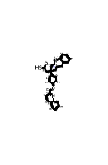 C/C=C/C(CCCc1ccccc1Cl)(CC(=O)S)c1ccc(OCc2ccc3ccccc3n2)cc1